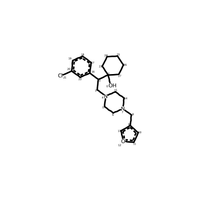 OC1(C(CN2CCN(Cc3ccoc3)CC2)c2cccc(Cl)c2)CCCCC1